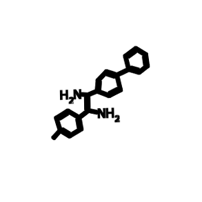 Cc1ccc(/C(N)=C(\N)c2ccc(-c3ccccc3)cc2)cc1